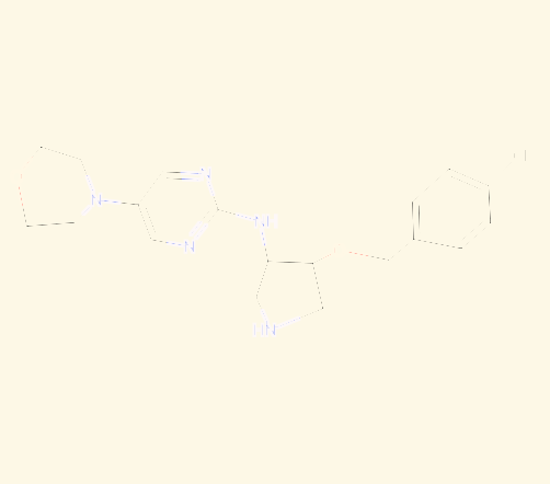 FC(F)(F)c1ccc(COC2CNCC2Nc2ncc(N3CCOCC3)cn2)cc1